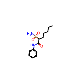 CCCCCC(C(=O)Nc1ccccc1)S(N)(=O)=O